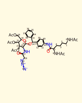 CC(=O)NCCCCC(NC(C)=O)C(=O)Nc1ccc(C(OC2OC(COC(C)=O)C(OC(C)=O)C(OC(C)=O)C2NC(=O)CN=[N+]=[N-])c2ccccc2)cc1